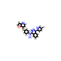 Cc1ccc(-c2nnc(Nc3ccc(Sc4ccnc5ccoc45)cc3)c3ccccc23)nc1